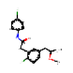 CC(C)OC(Cc1ccc(F)c(CC(=O)Nc2ccc(Cl)cc2)c1)C(=O)O